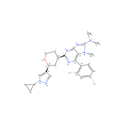 CN(C)c1nc2nc([C@@H]3CCO[C@H](c4cnn(C5CC5)c4)C3)nc(-c3ccc(F)cc3F)c2n1C